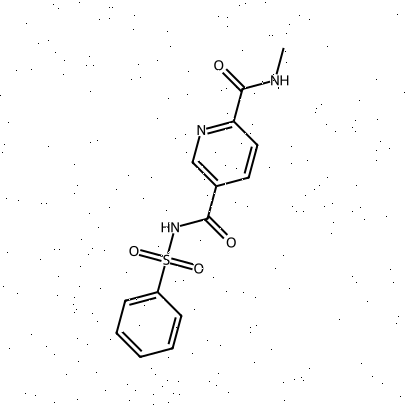 CNC(=O)c1ccc(C(=O)NS(=O)(=O)c2ccccc2)cn1